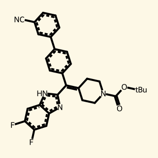 CC(C)(C)OC(=O)N1CCC(=C(c2ccc(-c3cccc(C#N)c3)cc2)c2nc3cc(F)c(F)cc3[nH]2)CC1